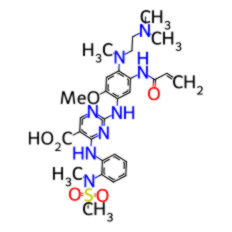 C=CC(=O)Nc1cc(Nc2ncc(C(=O)O)c(Nc3ccccc3N(C)S(C)(=O)=O)n2)c(OC)cc1N(C)CCN(C)C